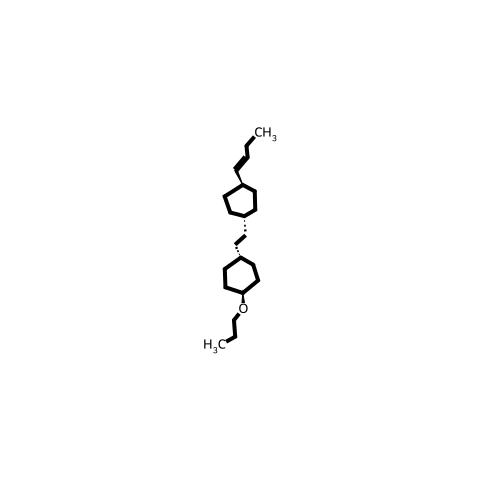 CC/C=C/[C@H]1CC[C@H](CC[C@H]2CC[C@H](OCCC)CC2)CC1